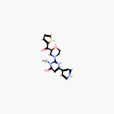 Cn1c(N2CCOC(C(=O)c3cccs3)C2)nc(-c2ccncc2)cc1=O